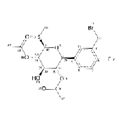 CS[C@H]1O[C@@H](c2ccc(F)c(CBr)c2)[C@H](OC(C)=O)[C@@H](O)[C@@H]1OC(C)=O